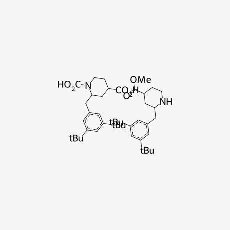 CC(C)(C)c1cc(CC2CC(C(=O)O)CCN2C(=O)O)cc(C(C)(C)C)c1.COC(=O)C1CCNC(Cc2cc(C(C)(C)C)cc(C(C)(C)C)c2)C1